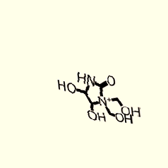 O=C1NC(O)C(O)[N+]1(CO)CO